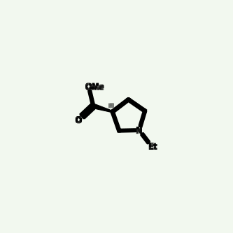 CCN1CC[C@H](C(=O)OC)C1